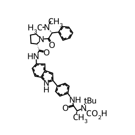 C[C@@H](C(=O)Nc1ccc(-c2cc3cc(NC(=O)[C@@H]4CCCN4C(=O)[C@@H](c4ccccc4)N(C)C)ccc3[nH]2)cc1)N(C(=O)O)C(C)(C)C